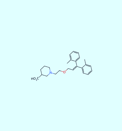 Cc1ccccc1C(=CCOCCN1CCCC(C(=O)O)C1)c1ccccc1C